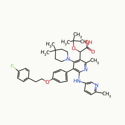 Cc1ccc(Nc2nc(C)c(C(OC(C)(C)C)C(=O)O)c(N3CCC(C)(C)CC3)c2-c2ccc(OCCc3ccc(F)cc3)cc2)cn1